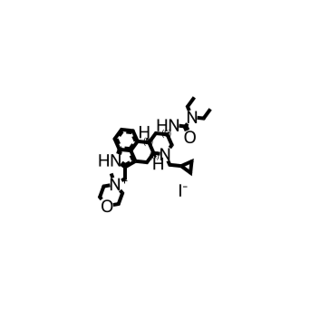 CCN(CC)C(=O)N[C@H]1C[C@@H]2c3cccc4[nH]c(C[N+]5(C)CCOCC5)c(c34)C[C@H]2N(CC2CC2)C1.[I-]